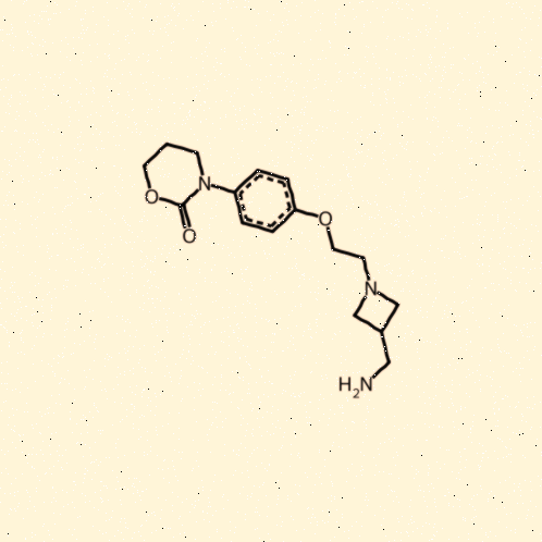 NCC1CN(CCOc2ccc(N3CCCOC3=O)cc2)C1